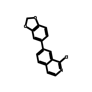 Clc1nccc2ccc(-c3ccc4c(c3)OCO4)cc12